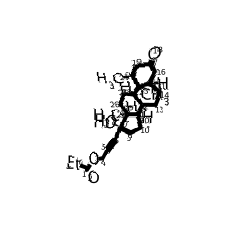 CCC(=O)OCC#C[C@]1(O)CC[C@H]2[C@@H]3CC[C@H]4CC(=O)C[C@H](C)[C@]4(C)[C@H]3CC[C@@]21C